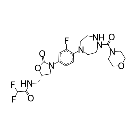 O=C(NC[C@H]1CN(c2ccc(N3CCNN(C(=O)N4CCOCC4)CC3)c(F)c2)C(=O)O1)C(F)F